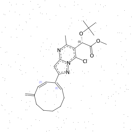 C=C1/C=C\C(c2cc3nc(C)c([C@H](OC(C)(C)C)C(=O)OC)c(Cl)n3n2)=C/CCCCC1